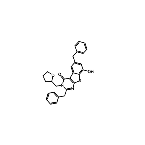 O=c1c2c(nc(Cc3ccccc3)n1CC1CCCO1)sc1c(O)cc(Cc3ccccc3)cc12